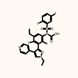 CCc1cc(N(C(=O)O)S(=O)(=O)c2cc(F)ccc2F)c(F)c(-c2nn(CC)cc2-c2ccncc2)c1F